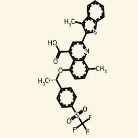 Cc1c(-c2cc(C(=O)O)c3c(O[C@@H](C)c4ccc(S(=O)(=O)C(F)(F)F)cc4)ccc(C)c3n2)sc2ccccc12